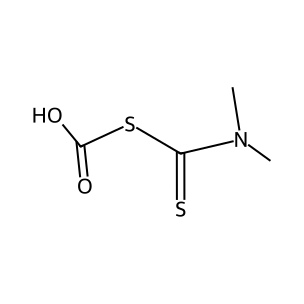 CN(C)C(=S)SC(=O)O